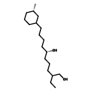 CCC(CO)CCC[C@@H](O)CCCCC1CCC[C@H](C)C1